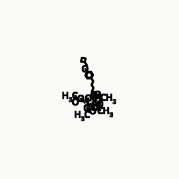 CC(=O)OC[C@H]1O[C@@H](OCCCCc2ccc(OCC3CCC3)cc2)[C@H](OC(C)=O)[C@@H](OC(C)=O)[C@@H]1OC(C)=O